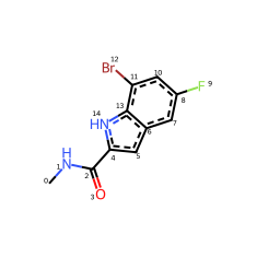 CNC(=O)c1cc2cc(F)cc(Br)c2[nH]1